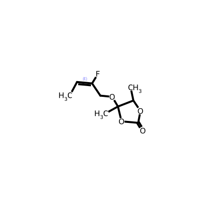 C/C=C(/F)COC1(C)OC(=O)OC1C